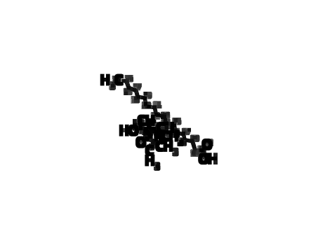 CC(O)N1C(=O)C(C)(C)N(C)C1(C)C.CCCCCCCCCCCCCCCCCC(=O)O